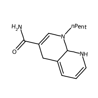 CCCCCN1C=C(C(N)=O)CC2=CC=CNC21